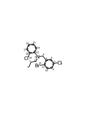 CCCN(Cc1cc(Cl)ccc1Br)c1ccccc1Cl